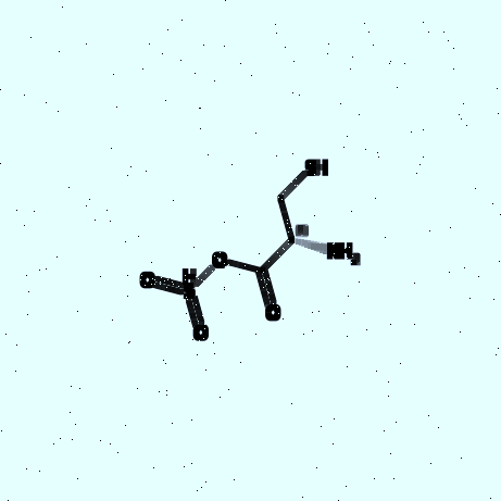 N[C@@H](CS)C(=O)O[SH](=O)=O